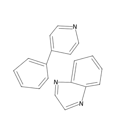 c1ccc(-c2ccncc2)cc1.c1ccc2nccnc2c1